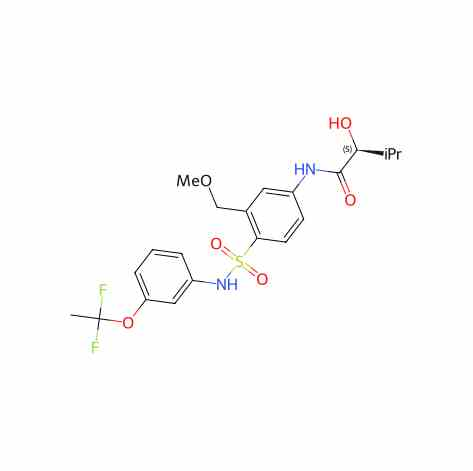 COCc1cc(NC(=O)[C@@H](O)C(C)C)ccc1S(=O)(=O)Nc1cccc(OC(C)(F)F)c1